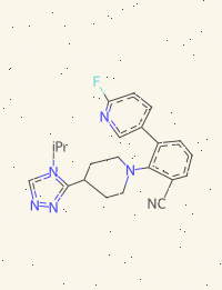 CC(C)n1cnnc1C1CCN(c2c(C#N)cccc2-c2ccc(F)nc2)CC1